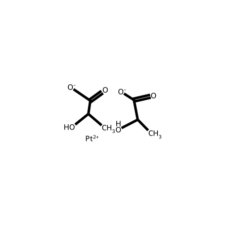 CC(O)C(=O)[O-].CC(O)C(=O)[O-].[Pt+2]